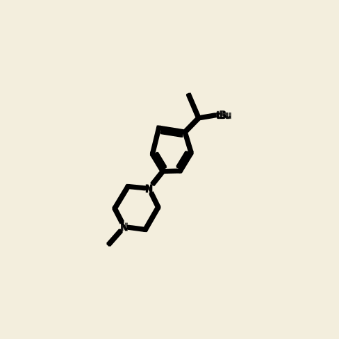 CC(c1ccc(N2CCN(C)CC2)cc1)C(C)(C)C